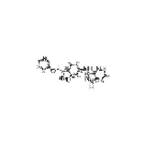 c1cncc(OCc2noc3cc(Nc4n[nH]c5cccnc45)ccc23)c1